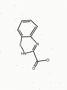 O=C(Cl)C1=Nc2ccccc2SN1